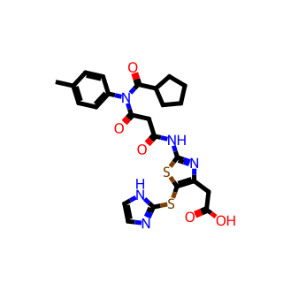 Cc1ccc(N(C(=O)CC(=O)Nc2nc(CC(=O)O)c(Sc3ncc[nH]3)s2)C(=O)C2CCCC2)cc1